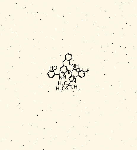 C=C(NCc1ccccc1Cc1ccc2nnc(-c3ccccc3O)n2c1)Nc1cc(C(C)(C)SC)nn1-c1ccc(F)cc1